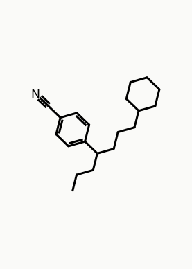 CCCC(CCCC1CCCCC1)c1ccc(C#N)cc1